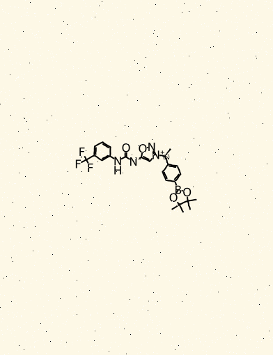 C[C@@H](c1ccc(B2OC(C)(C)C(C)(C)O2)cc1)[n+]1cc([N-]C(=O)Nc2cccc(C(F)(F)F)c2)on1